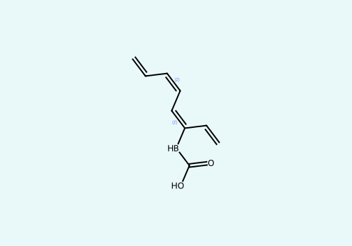 C=C/C=C\C=C(\BC(=O)O)C=C